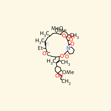 C=CCC1(O)CCC(C=C(C)C2OC(=O)C3CCCCN3C(=O)C(=O)C3(O)OC(C(OC)CC(C)C/C(C)=C/C(CC)C(=O)CCC2C)C(OC)CC3C)CC1OC